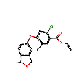 C=COC(=O)c1cc(F)c(Oc2ccc3c(c2)COB3C)cc1Cl